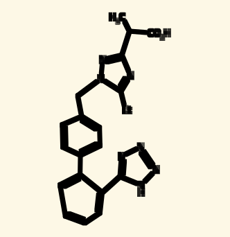 CCc1nc(C(C)C(=O)O)nn1Cc1ccc(-c2ccccc2-c2nnn[nH]2)cc1